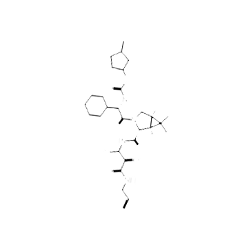 C=CCNC(=O)C(=O)C(CCC)NC(=O)[C@@H]1[C@@H]2[C@H](CN1C(=O)[C@@H](NC(=O)OC1CCC(C)C1)C1CCCCC1)C2(C)C